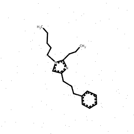 CCCCCn1cc(CCCc2ccccc2)nc1CCC